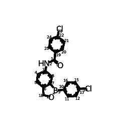 O=C(Nc1ccc2c(c1)B(c1ccc(Cl)cc1)OC2)c1ccc(Cl)cc1